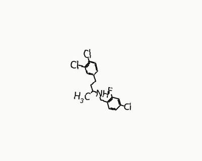 CC(CCc1ccc(Cl)c(Cl)c1)NCc1ccc(Cl)cc1F